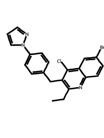 CCc1nc2ccc(Br)cc2c(Cl)c1Cc1ccc(-n2cccn2)cc1